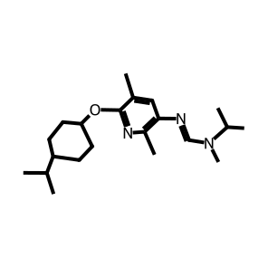 Cc1cc(/N=C/N(C)C(C)C)c(C)nc1OC1CCC(C(C)C)CC1